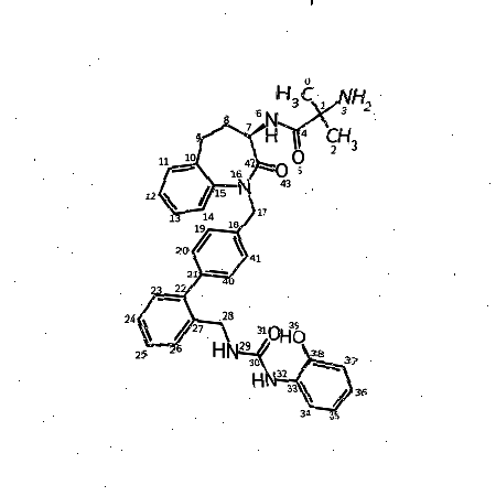 CC(C)(N)C(=O)N[C@@H]1CCc2ccccc2N(Cc2ccc(-c3ccccc3CNC(=O)Nc3ccccc3O)cc2)C1=O